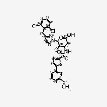 CSc1nccc(-c2cnc(S(=O)(=O)NC(CC(=O)O)C(=O)Cn3nnc(Cc4c(Cl)cccc4Cl)n3)s2)n1